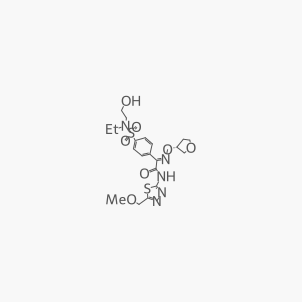 CCN(CCO)S(=O)(=O)c1ccc(/C(=N\O[C@@H]2CCOC2)C(=O)Nc2nnc(COC)s2)cc1